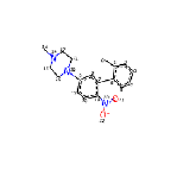 Cc1ccccc1-c1cc(N2CCN(C)CC2)ccc1[N+](=O)[O-]